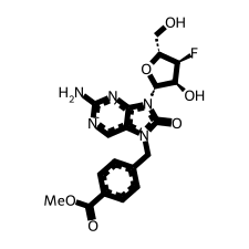 COC(=O)c1ccc(Cn2c(=O)n([C@@H]3O[C@H](CO)[C@@H](F)[C@H]3O)c3nc(N)ncc32)cc1